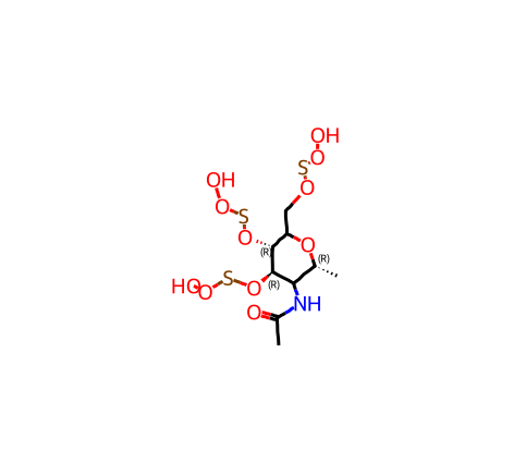 CC(=O)NC1[C@@H](OSOO)[C@H](OSOO)C(COSOO)O[C@@H]1C